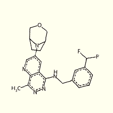 Cc1nnc(NCc2cccc(C(F)F)c2)c2cc(N3C4CCC3COC4)cnc12